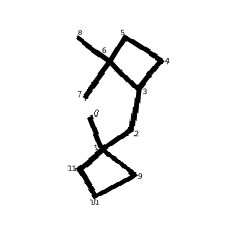 CC1(CC2CCC2(C)C)CCC1